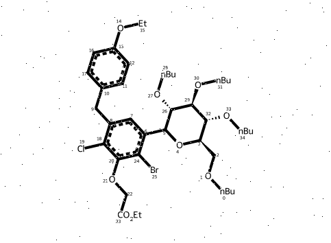 CCCCOC[C@H]1OC(c2cc(Cc3ccc(OCC)cc3)c(Cl)c(OCC(=O)OCC)c2Br)[C@H](OCCCC)[C@@H](OCCCC)[C@@H]1OCCCC